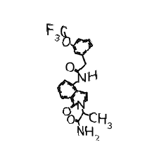 CC(C(N)=O)n1ccc2c(NC(=O)Cc3cccc(OC(F)(F)F)c3)cccc2c1=O